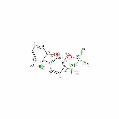 CC1=CC=CC(O)C1(Br)c1ccc(F)c(OC(F)(F)F)c1